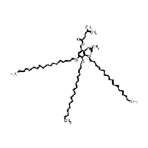 CCCCCCCCCCCCCCCCCCOc1cc(COC(=O)CCC(C)C)c(NC(C)=O)c(OCCCCCCCCCCCCCCCCCC)c1OCCCCCCCCCCCCCCCCCC